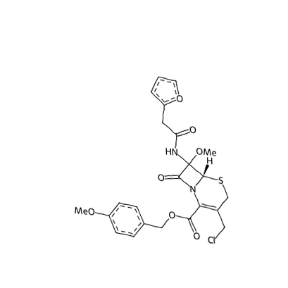 COc1ccc(COC(=O)C2=C(CCl)CS[C@@H]3N2C(=O)C3(NC(=O)Cc2ccco2)OC)cc1